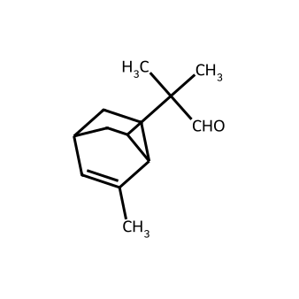 CC1=CC2CCC1C(C(C)(C)C=O)C2